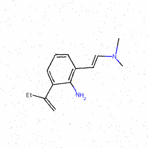 C=C(CC)c1cccc(/C=C/N(C)C)c1N